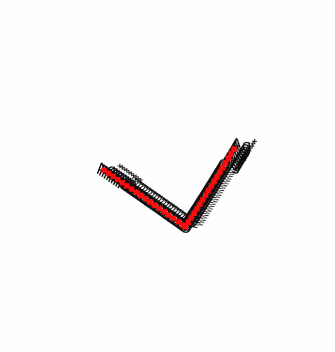 [Ag+].[Ag+].[Ag+].[Ag+].[Ag+].[Ag+].[Ag+].[Ag+].[Ag+].[Ag+].[Ag+].[Ag+].[Ag+].[Ag+].[Ag+].[Ag+].[Ag+].[Ag+].[Ag+].[O-2].[O-2].[O-2].[O-2].[O-2].[O-2].[O-2].[O-2].[O-2].[O-2].[O-2].[O-2].[O-2].[O-2].[O-2].[O-2].[O-2].[O-2].[O-2].[O-2].[O-2].[O-2].[O-2].[O-2].[O-2].[O-2].[O-2].[O-2].[O-2].[O-2].[O-2].[O-2].[O-2].[O-2].[O-2].[O-2].[O-2].[O-2].[O-2].[O-2].[O-2].[O-2].[O-2].[O-2].[O-2].[O-2].[O-2].[O-2].[O-2].[O-2].[O-2].[O-2].[O-2].[O-2]